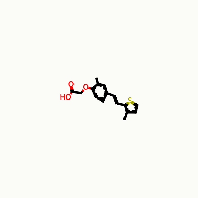 Cc1cc(C=Cc2sccc2C)ccc1OCC(=O)O